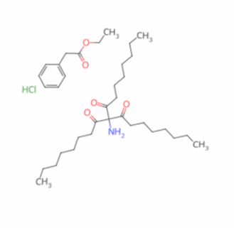 CCCCCCCC(=O)C(N)(C(=O)CCCCCCC)C(=O)CCCCCCC.CCOC(=O)Cc1ccccc1.Cl